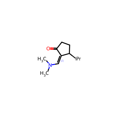 CC(C)C1CCC(=O)/C1=C\N(C)C